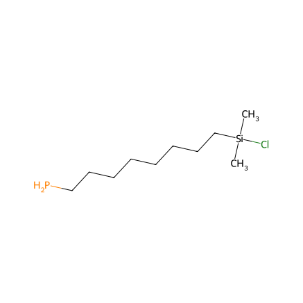 C[Si](C)(Cl)CCCCCCCCP